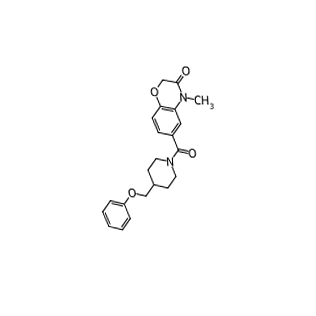 CN1C(=O)COc2ccc(C(=O)N3CCC(COc4ccccc4)CC3)cc21